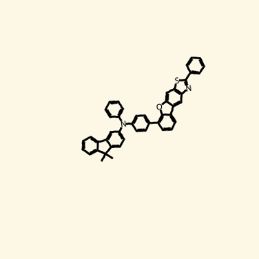 CC1(C)c2ccccc2-c2cc(N(c3ccccc3)c3ccc(-c4cccc5c4oc4cc6sc(-c7ccccc7)nc6cc45)cc3)ccc21